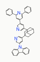 c1ccc(-c2cc(-c3cncc(C45CC6CC(C4)CC(c4cncc(-n7c8ccccc8c8ccccc87)c4)(C6)C5)c3)cc(-c3ccccc3)n2)cc1